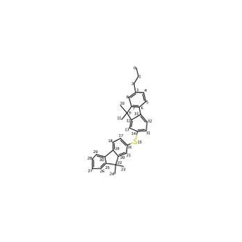 CCCc1ccc2c(c1)C(C)(C)c1cc(Sc3ccc4c(c3)C(C)(C)c3ccccc3-4)ccc1-2